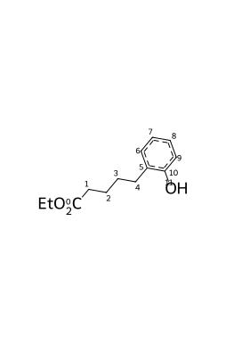 CCOC(=O)CCCCc1ccccc1O